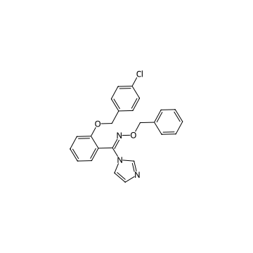 Clc1ccc(COc2ccccc2/C(=N/OCc2ccccc2)n2ccnc2)cc1